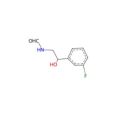 O=CNCC(O)c1cccc(F)c1